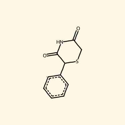 O=C1CSC(c2[c]cccc2)C(=O)N1